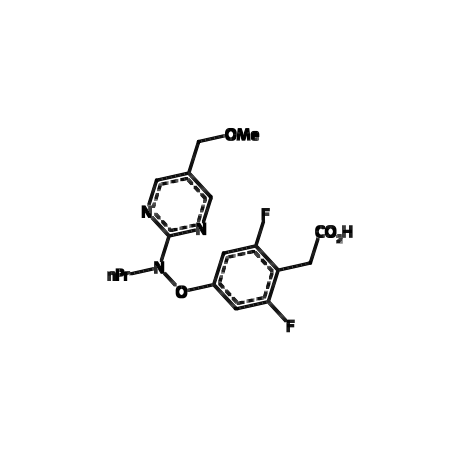 CCCN(Oc1cc(F)c(CC(=O)O)c(F)c1)c1ncc(COC)cn1